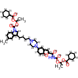 Cc1ccc2c(c1)c(CCCCN1CCN(c3ccc4oc(C(=O)NC(=O)OC(C)OC(=O)C5CCCCC5)cc4c3)CC1)cn2C(=O)OC(C)OC(=O)C1CCCCC1